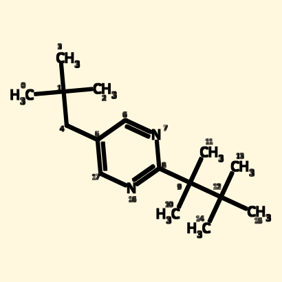 CC(C)(C)Cc1cnc(C(C)(C)C(C)(C)C)nc1